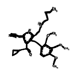 CCCNCc1[nH]c(C#N)c(C(=O)C2CC2)c1-c1ccc(OC)c(OC)c1OC